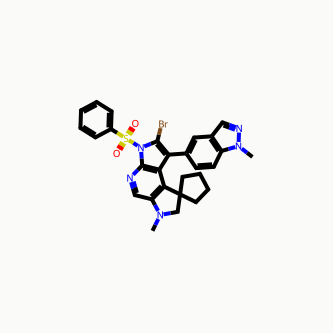 CN1CC2(CCCC2)c2c1cnc1c2c(-c2ccc3c(cnn3C)c2)c(Br)n1S(=O)(=O)c1ccccc1